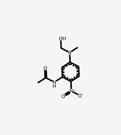 CC(=O)Nc1cc(N(C)CO)ccc1[N+](=O)[O-]